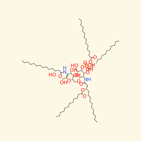 CCCCCCCCCCCCCC(=O)O[C@H](CCCCCCCCCCC)CC(=O)OC1C(NC(=O)C[C@@H](CCCCCCCCCCC)OC(=O)CCCCCCCCCCC)[C@H](OCC2OC(CO)=C(NC(=O)C[C@H](O)CCCCCCCCCCC)C(O)[C@@H]2O)OC(CO)[C@H]1OP(=O)(O)O